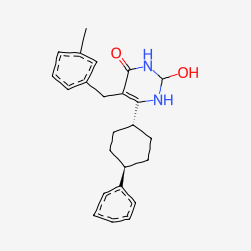 Cc1cccc(CC2=C([C@H]3CC[C@H](c4ccccc4)CC3)NC(O)NC2=O)c1